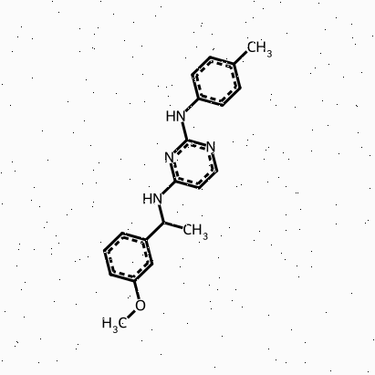 COc1cccc(C(C)Nc2ccnc(Nc3ccc(C)cc3)n2)c1